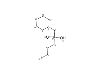 O=P(O)(CCCI)CC1CCCCC1